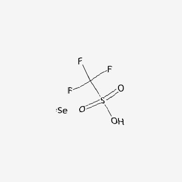 O=S(=O)(O)C(F)(F)F.[Se]